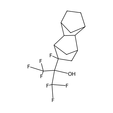 OC(C(F)(F)F)(C(F)(F)F)C1(F)CC2CC1C1C3CCC(C3)C21